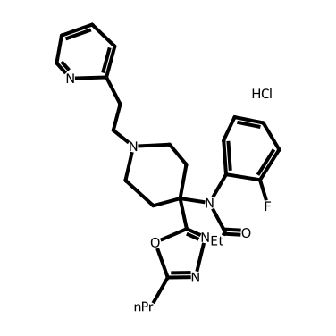 CCCc1nnc(C2(N(C(=O)CC)c3ccccc3F)CCN(CCc3ccccn3)CC2)o1.Cl